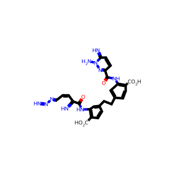 N=N/N=C/C=C\C(=N)C(=O)Nc1cc(CCc2ccc(C(=O)O)c(NC(=O)c3ccc(=N)n(N)n3)c2)ccc1C(=O)O